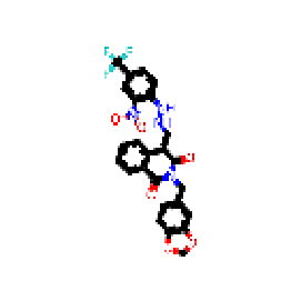 O=C1/C(=C/NNc2ccc(C(F)(F)F)cc2[N+](=O)[O-])c2ccccc2C(=O)N1Cc1ccc2c(c1)OCO2